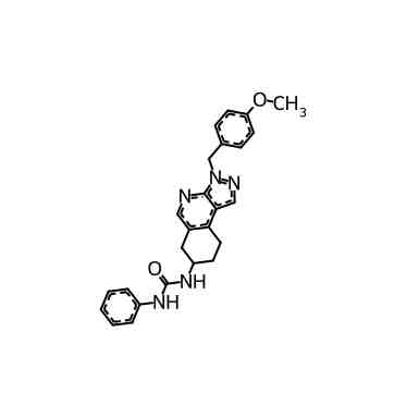 COc1ccc(Cn2ncc3c4c(cnc32)CC(NC(=O)Nc2ccccc2)CC4)cc1